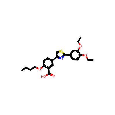 CCCCOc1ccc(-c2csc(-c3ccc(OCC)c(OCC)c3)n2)cc1C(=O)O